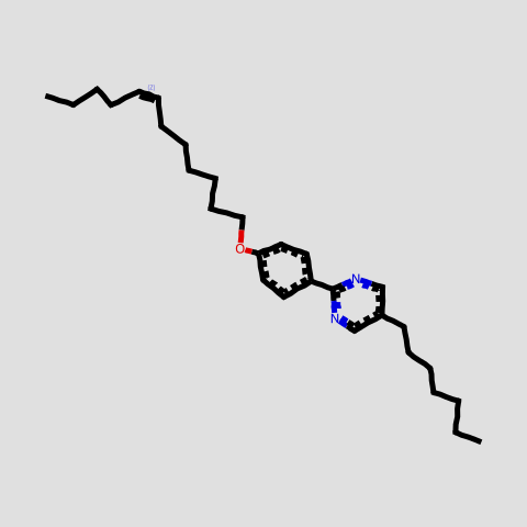 CCCC/C=C\CCCCCCOc1ccc(-c2ncc(CCCCCCC)cn2)cc1